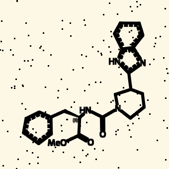 COC(=O)[C@@H](Cc1ccccc1)NC(=O)N1CCCC(c2nc3ccccc3[nH]2)C1